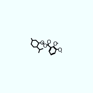 COc1cccc(C(=O)OO[C]2CC(C)CCC2C(C)C)c1OC